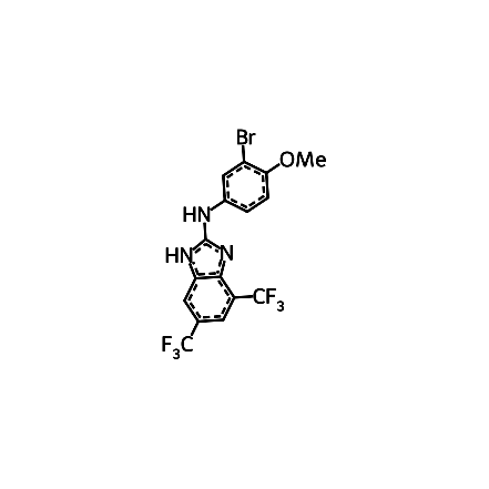 COc1ccc(Nc2nc3c(C(F)(F)F)cc(C(F)(F)F)cc3[nH]2)cc1Br